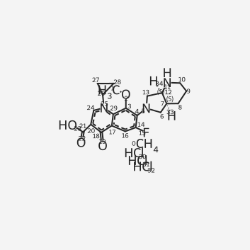 C.COc1c(N2C[C@@H]3CCCN[C@@H]3C2)c(F)cc2c(=O)c(C(=O)O)cn(C3CC3)c12.Cl.Cl.Cl